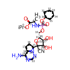 CC(C)OC(=O)C(C)N[P@@](=O)(OC[C@H]1OC(C#N)(c2ccc3c(N)ncnn23)[C@H](O)[C@@H]1O)Oc1ccccc1